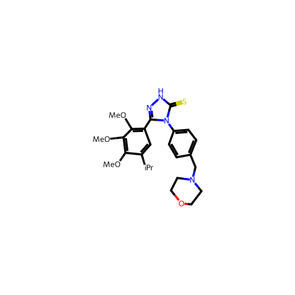 COc1c(-c2n[nH]c(=S)n2-c2ccc(CN3CCOCC3)cc2)cc(C(C)C)c(OC)c1OC